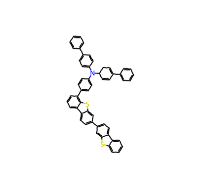 C1=CC(N(c2ccc(-c3ccccc3)cc2)c2ccc(-c3cccc4c3sc3cc(-c5ccc6c(c5)sc5ccccc56)ccc34)cc2)CC=C1c1ccccc1